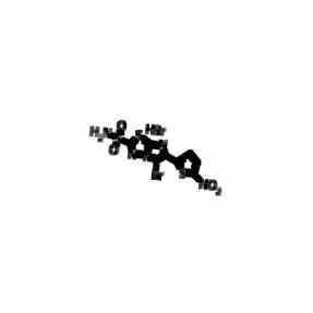 Br.NS(=O)(=O)c1nn2c(Br)c(-c3ccc([N+](=O)[O-])s3)nc2s1